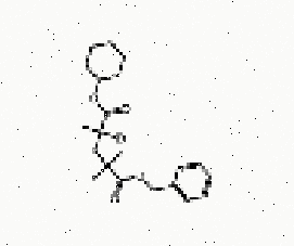 CCC(C)(CC(C)(C)C(=O)OCc1ccccc1)C(=O)OC1CCCCC1